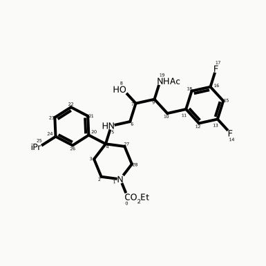 CCOC(=O)N1CCC(NCC(O)C(Cc2cc(F)cc(F)c2)NC(C)=O)(c2cccc(C(C)C)c2)CC1